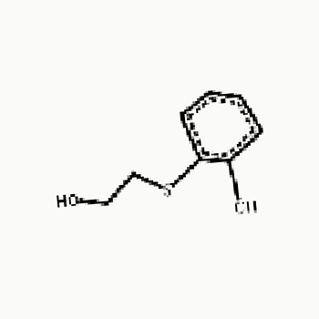 OCCSc1ccccc1O